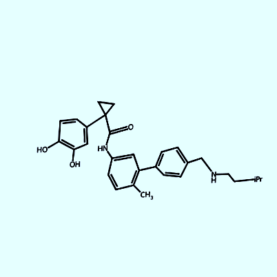 Cc1ccc(NC(=O)C2(c3ccc(O)c(O)c3)CC2)cc1-c1ccc(CNCCC(C)C)cc1